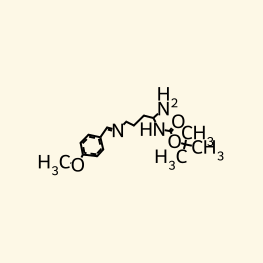 COc1ccc(/C=N/CCCC(N)NC(=O)OC(C)(C)C)cc1